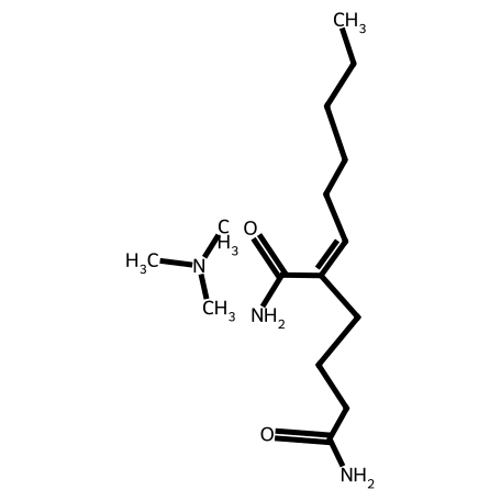 CCCCCC=C(CCCC(N)=O)C(N)=O.CN(C)C